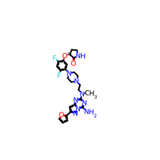 CN(CCN1CCN(c2cc(O[C@@H]3CCNC3=O)c(F)cc2F)CC1)c1nc(N)n2nc(-c3ccco3)cc2n1